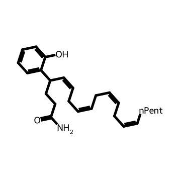 CCCCC/C=C\C/C=C\C/C=C\C/C=C\C(CCC(N)=O)c1ccccc1O